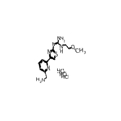 COCCNC(N)=Nc1nc(-c2cccc(CN)n2)cs1.Cl.Cl.Cl